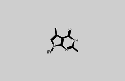 Cc1nc2c(c(C)cn2C(C)C)c(=O)[nH]1